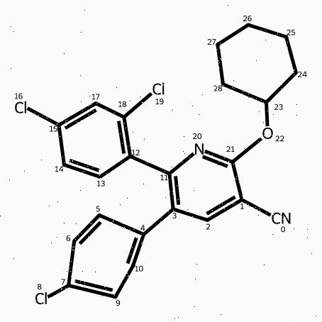 N#Cc1cc(-c2ccc(Cl)cc2)c(-c2ccc(Cl)cc2Cl)nc1OC1CCCCC1